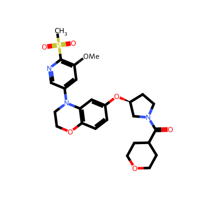 COc1cc(N2CCOc3ccc(O[C@H]4CCN(C(=O)C5CCOCC5)C4)cc32)cnc1S(C)(=O)=O